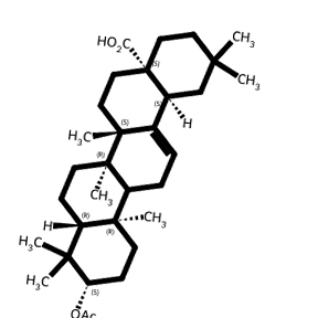 CC(=O)O[C@H]1CC[C@]2(C)C3CC=C4[C@@H]5CC(C)(C)CC[C@]5(C(=O)O)CC[C@@]4(C)[C@]3(C)CC[C@H]2C1(C)C